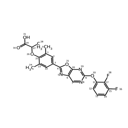 Cc1cc(-c2nc3cnc(Oc4cccc(F)c4F)nc3o2)cc(C)c1OC(C)C(=O)O